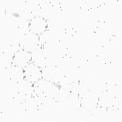 C#Cc1cccc(Nc2ncnc3cc(OCC)c(C#CC(C)(C)N4CCN(C)CC4)cc23)c1